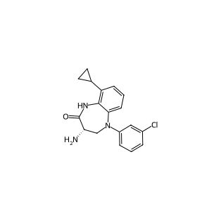 N[C@H]1CN(c2cccc(Cl)c2)c2cccc(C3CC3)c2NC1=O